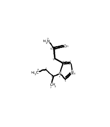 CCC(C)n1cncc1CC(N)=O